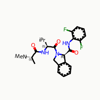 CN[C@@H](C)C(=O)N[C@H](C(=O)N1Cc2ccccc2[C@@H]1C(=O)Nc1c(F)cccc1F)C(C)C